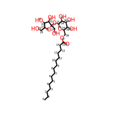 CCCCCCCCCCCCCCCC(=O)OCC1OC(OC2(CO)OC(CO)C(O)C2O)C(O)C(O)C1O